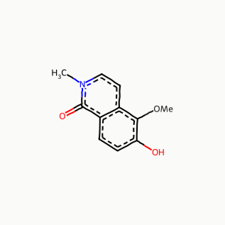 COc1c(O)ccc2c(=O)n(C)ccc12